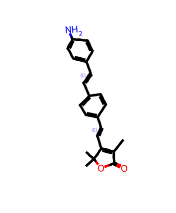 CC1=C(/C=C/c2ccc(/C=C/c3ccc(N)cc3)cc2)C(C)(C)OC1=O